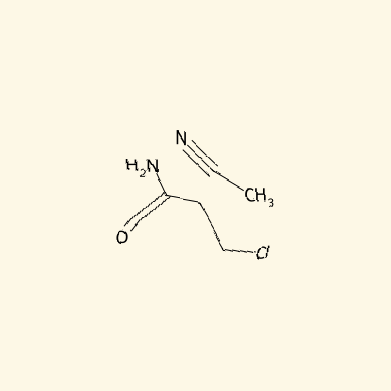 CC#N.NC(=O)CCCl